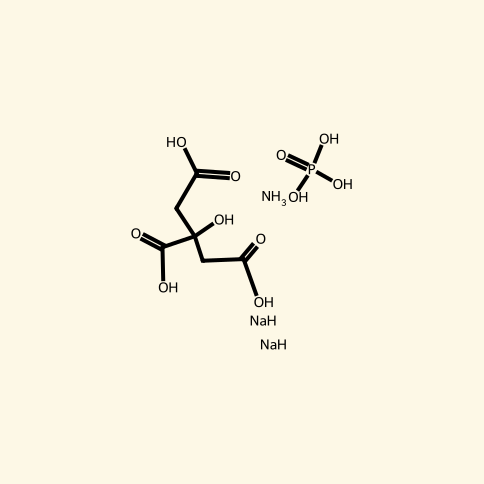 N.O=C(O)CC(O)(CC(=O)O)C(=O)O.O=P(O)(O)O.[NaH].[NaH]